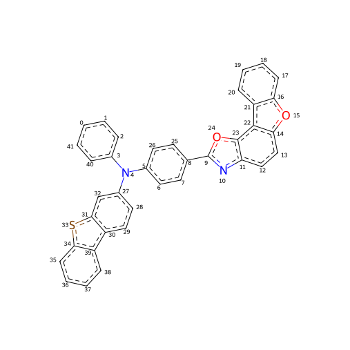 c1ccc(N(c2ccc(-c3nc4ccc5oc6ccccc6c5c4o3)cc2)c2ccc3c(c2)sc2ccccc23)cc1